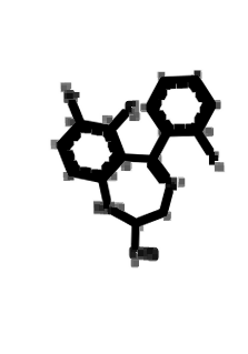 O=CC1CN=C(c2ccccc2F)c2c(ccc(Br)c2Cl)N1